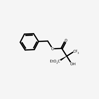 CCOC(=O)[C@@](O)(C(=O)OCc1ccccc1)C(F)(F)F